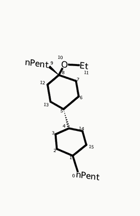 CCCCCC1CCC([C@H]2CC[C@@](CCCCC)(OCC)CC2)CC1